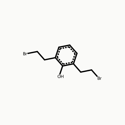 Oc1c(CCBr)cccc1CCBr